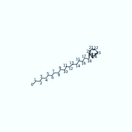 CCCCCCCCCCCCCCCCCCC[n+]1ccccc1